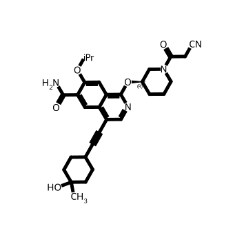 CC(C)Oc1cc2c(O[C@@H]3CCCN(C(=O)CC#N)C3)ncc(C#CC3CCC(C)(O)CC3)c2cc1C(N)=O